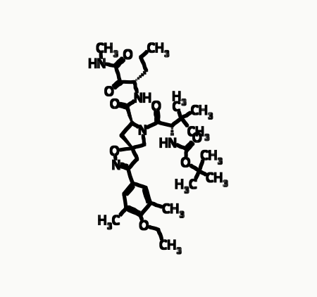 CCC[C@H](NC(=O)[C@@H]1C[C@]2(CC(c3cc(C)c(OCC)c(C)c3)=NO2)CN1C(=O)[C@@H](NC(=O)OC(C)(C)C)C(C)(C)C)C(=O)C(=O)NC